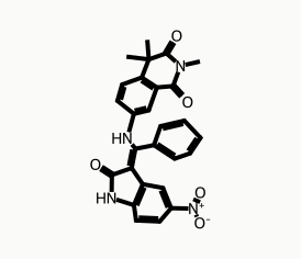 CN1C(=O)c2cc(NC(=C3C(=O)Nc4ccc([N+](=O)[O-])cc43)c3ccccc3)ccc2C(C)(C)C1=O